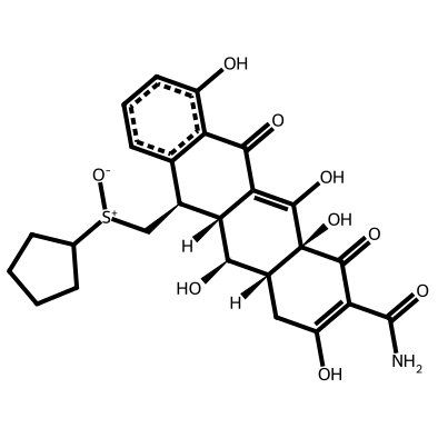 NC(=O)C1=C(O)C[C@@H]2[C@@H](O)[C@H]3C(=C(O)[C@]2(O)C1=O)C(=O)c1c(O)cccc1[C@@H]3C[S+]([O-])C1CCCC1